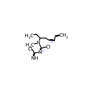 C=C/C=C\CC(CC)N(C)/C(Cl)=N\C(=N)Cl